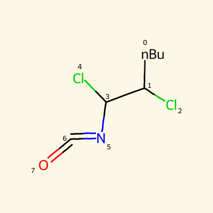 CCCCC(Cl)C(Cl)N=C=O